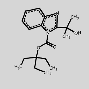 CCC(CC)(CC)OC(=O)n1c(C(C)(C)O)nc2ccccc21